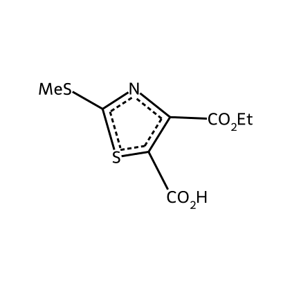 CCOC(=O)c1nc(SC)sc1C(=O)O